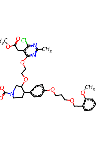 COC(=O)Cc1c(Cl)nc(C)nc1OCCOC1CN(C(=O)O)CCC1c1ccc(OCCCOCc2ccccc2OC)cc1